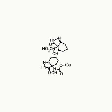 CC(C)(C)OC(=O)N(O)C12CCCCC1=NNC2=O.O=C(O)N(O)C12CCCCC1=NNC2=O